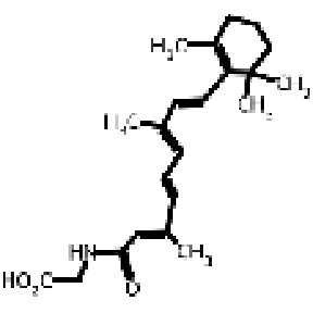 CC(C=CC1=C(C)CCCC1(C)C)=CC=CC(C)=CC(=O)NCC(=O)O